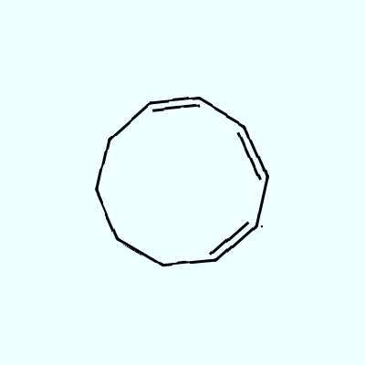 [C]1=CCCCCC=CC=C1